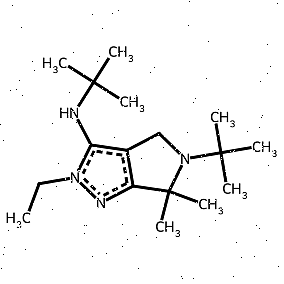 CCn1nc2c(c1NC(C)(C)C)CN(C(C)(C)C)C2(C)C